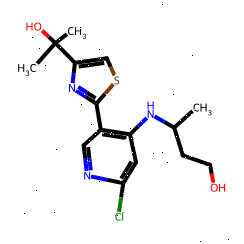 CC(CCO)Nc1cc(Cl)ncc1-c1nc(C(C)(C)O)cs1